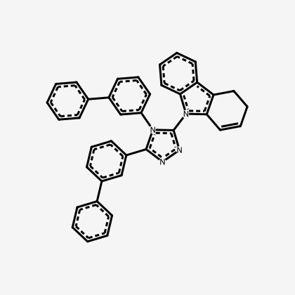 C1=Cc2c(c3ccccc3n2-c2nnc(-c3cccc(-c4ccccc4)c3)n2-c2cccc(-c3ccccc3)c2)CC1